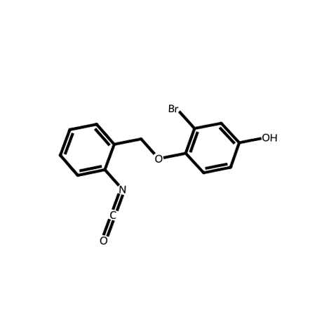 O=C=Nc1ccccc1COc1ccc(O)cc1Br